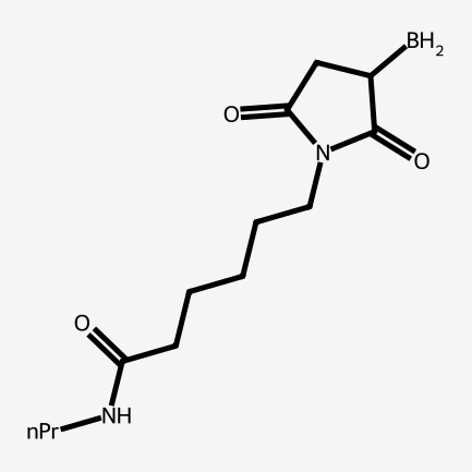 BC1CC(=O)N(CCCCCC(=O)NCCC)C1=O